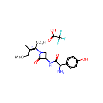 COC/C(C)=C(/C(=O)O)N1CC(NC(=O)C(N)c2ccc(O)cc2)C1=O.O=C(O)C(F)(F)F